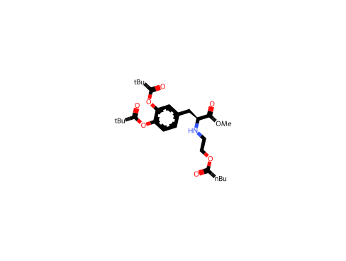 CCCCC(=O)OCCN[C@@H](Cc1ccc(OC(=O)C(C)(C)C)c(OC(=O)C(C)(C)C)c1)C(=O)OC